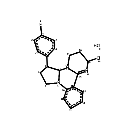 Cl.Fc1ccc(C2CCN3c4ccccc4C4=NC(Cl)CCN4C23)cc1